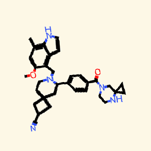 COc1cc(C)c2[nH]ccc2c1CN1CCC2(CC(C#N)C2)CC1c1ccc(C(=O)N2CCNC3(CC3)C2)cc1